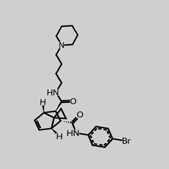 O=C(NCCCCN1CCCCC1)[C@H]1[C@H](C(=O)Nc2ccc(Br)cc2)[C@@H]2C=C[C@H]1C21CC1